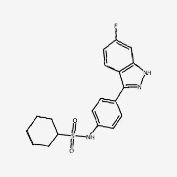 O=S(=O)(Nc1ccc(-c2n[nH]c3cc(F)ccc23)cc1)C1CCCCC1